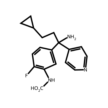 NC(CCC1CC1)(c1ccncc1)c1ccc(F)c(NC(=O)O)c1